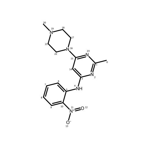 Cc1nc(Nc2ccccc2[N+](=O)[O-])cc(N2CCN(C)CC2)n1